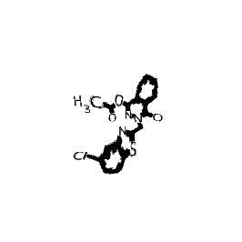 CC(=O)Oc1nn(Cc2nc3cc(Cl)ccc3s2)c(=O)c2ccccc12